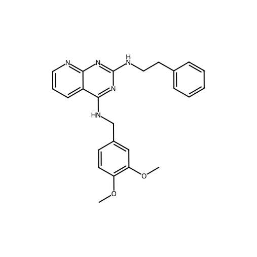 COc1ccc(CNc2nc(NCCc3ccccc3)nc3ncccc23)cc1OC